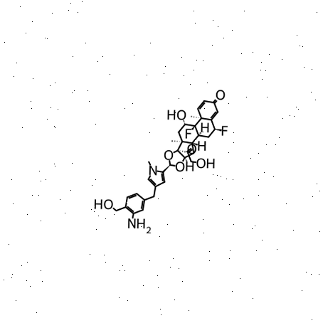 Cn1cc(Cc2ccc(CO)c(N)c2)cc1[C@@H]1O[C@@H]2C[C@H]3[C@@H]4C[C@H](F)C5=CC(=O)C=C[C@]5(C)[C@@]4(F)[C@@H](O)C[C@]3(C)[C@]2(C(=O)CO)O1